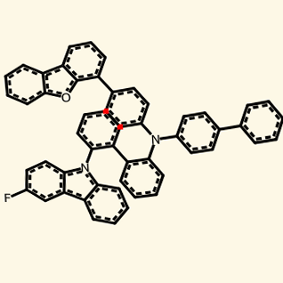 Fc1ccc2c(c1)c1ccccc1n2-c1ccccc1-c1ccccc1N(c1ccc(-c2ccccc2)cc1)c1ccc(-c2cccc3c2oc2ccccc23)cc1